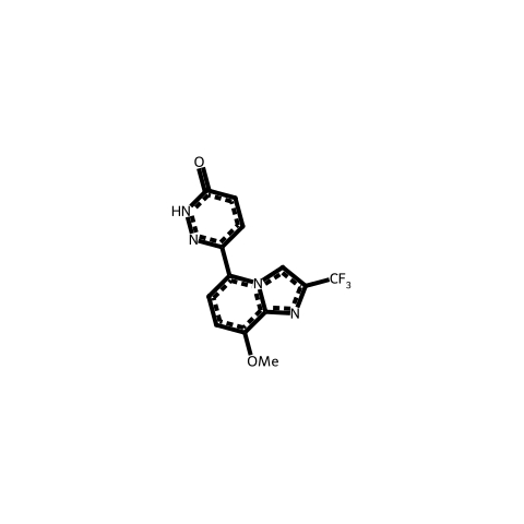 COc1ccc(-c2ccc(=O)[nH]n2)n2cc(C(F)(F)F)nc12